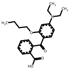 CCCCOc1cc(N(CC)CC)ccc1C(=O)c1ccccc1C(=O)O